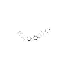 O=C(c1ccc(-c2cc(Cl)c(C[C@@H]3CCN(C4CCC(F)(F)CC4)C3=O)c(Cl)c2)cc1)N1CCC(C(F)(F)F)CC1